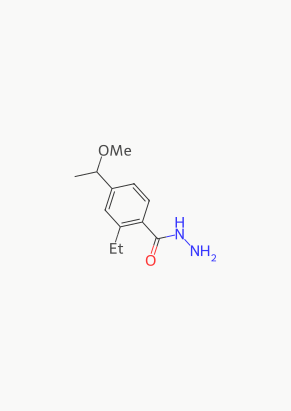 CCc1cc(C(C)OC)ccc1C(=O)NN